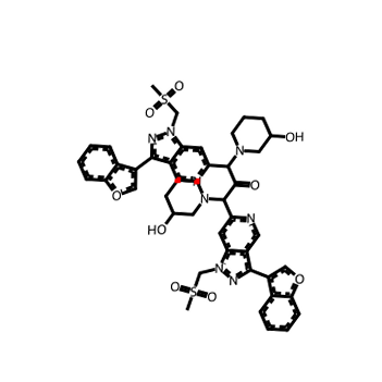 CS(=O)(=O)Cn1nc(-c2coc3ccccc23)c2cnc(C(C(=O)C(c3cc4c(cn3)c(-c3coc5ccccc35)nn4CS(C)(=O)=O)N3CCCC(O)C3)N3CCCC(O)C3)cc21